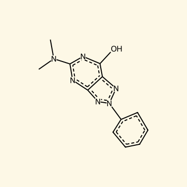 CN(C)c1nc(O)c2nn(-c3ccccc3)nc2n1